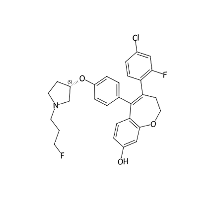 Oc1ccc2c(c1)OCCC(c1ccc(Cl)cc1F)=C2c1ccc(O[C@H]2CCN(CCCF)C2)cc1